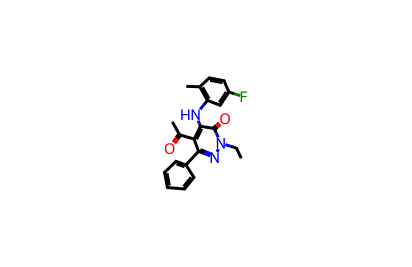 CCn1nc(-c2ccccc2)c(C(C)=O)c(Nc2cc(F)ccc2C)c1=O